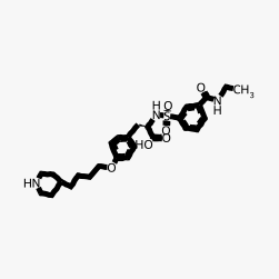 CCNC(=O)c1cccc(S(=O)(=O)N[C@@H](Cc2ccc(OCCCCC3CCNCC3)cc2)C(=O)O)c1